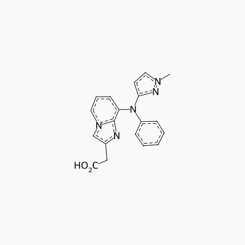 Cn1ccc(N(c2ccccc2)c2cccn3cc(CC(=O)O)nc23)n1